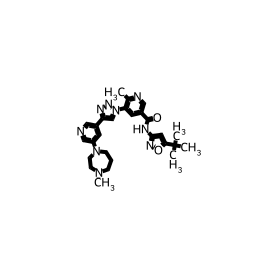 Cc1ncc(C(=O)Nc2cc(C(C)(C)C)on2)cc1-n1cc(-c2cncc(N3CCCN(C)CC3)c2)nn1